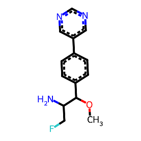 COC(c1ccc(-c2cncnc2)cc1)C(N)CF